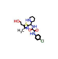 Cc1nc(C(NC(=O)C(=O)Nc2ccc(Cl)cc2)C2CCCCN2)sc1CCO